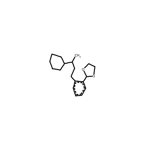 CC(CCc1ccccc1C1OCCO1)C1CCCCC1